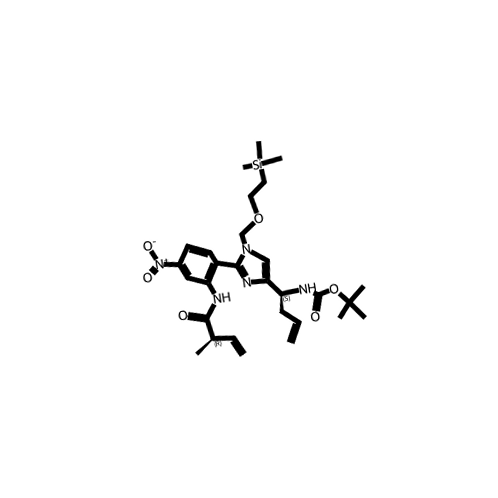 C=CC[C@H](NC(=O)OC(C)(C)C)c1cn(COCC[Si](C)(C)C)c(-c2ccc([N+](=O)[O-])cc2NC(=O)[C@H](C)C=C)n1